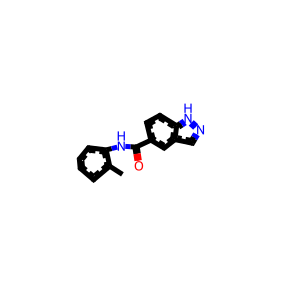 Cc1ccccc1NC(=O)c1ccc2[nH]ncc2c1